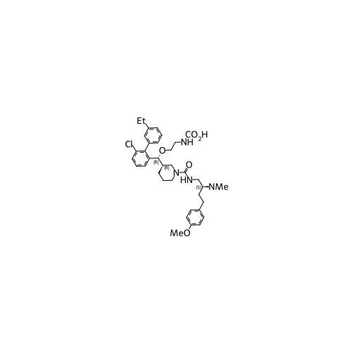 CCc1cccc(-c2c(Cl)cccc2[C@H](OCCNC(=O)O)[C@@H]2CCCN(C(=O)NC[C@H](CCc3ccc(OC)cc3)NC)C2)c1